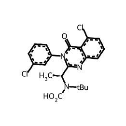 C[C@@H](c1nc2cccc(Cl)c2c(=O)n1-c1cccc(Cl)c1)N(C(=O)O)C(C)(C)C